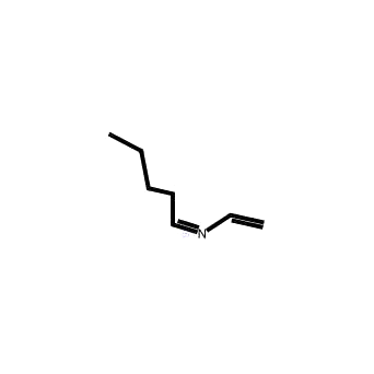 C=C/N=C\CCCC